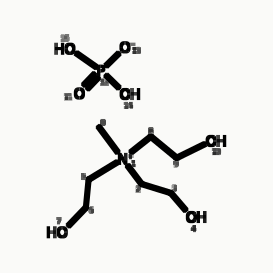 C[N+](CCO)(CCO)CCO.O=P([O-])(O)O